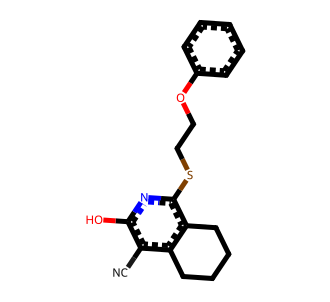 N#Cc1c(O)nc(SCCOc2ccccc2)c2c1CCCC2